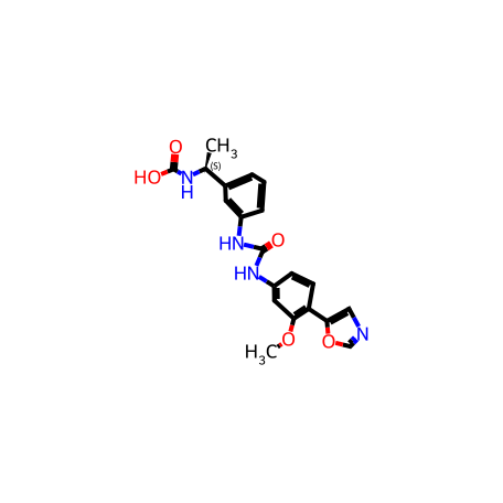 COc1cc(NC(=O)Nc2cccc([C@H](C)NC(=O)O)c2)ccc1-c1cnco1